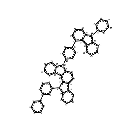 c1ccc(-c2cccc(-n3c4ccccc4c4ccc5c(c6ccccc6n5-c5ccc(-c6cccc7c6c6ccccc6n7-c6ccccc6)cc5)c43)c2)cc1